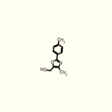 Cc1ccc(-c2nc(C)c(CO)o2)cc1